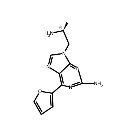 C[C@H](N)Cn1cnc2c(-c3ccco3)nc(N)nc21